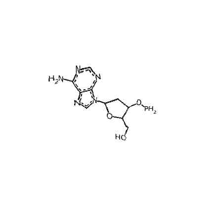 Nc1ncnc2c1ncn2C1CC(OP)C(CO)O1